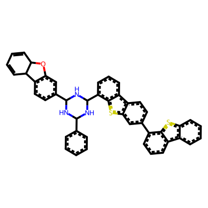 C1=CC2Oc3cc(C4NC(c5ccccc5)NC(c5cccc6c5sc5cc(-c7cccc8c7sc7ccccc78)ccc56)N4)ccc3C2C=C1